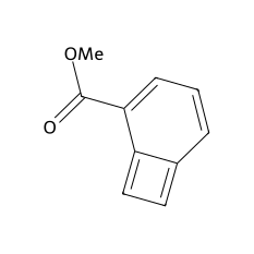 COC(=O)c1cccc2c1=CC=2